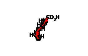 C[C@]12CC[C@H](OCC(=O)NCCCCCC(=O)NCCC(=O)N3C(=O)N[C@@H]4[C@H](CCCCC(=O)O)SC[C@@H]43)C[C@H]1CCC1[C@@H]2C[C@@H](O)[C@]2(C)[C@@H](C3=CC(=O)OC3)CC[C@]12O